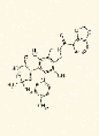 Cc1ccc(-c2c(C)c3c(c(C)c2C(OC(C)(C)C)C(=O)O)CN(C(=O)c2cccc4c2OCO4)C3)cc1